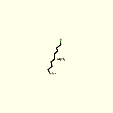 CCCCCCCCCCCCCCBr.[MgH2]